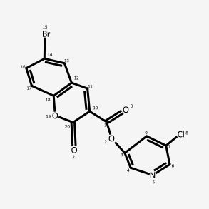 O=C(Oc1cncc(Cl)c1)c1cc2cc(Br)ccc2oc1=O